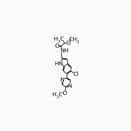 COc1cnc(-c2cc3[nH]c(CNC(=O)C(C)OC)cc3cc2Cl)cn1